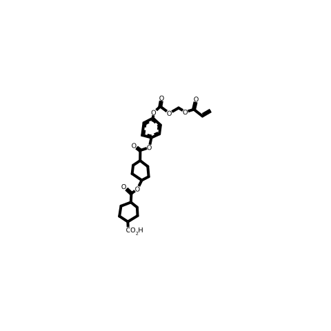 C=CC(=O)OCOC(=O)Oc1ccc(OC(=O)C2CCC(OC(=O)C3CCC(C(=O)O)CC3)CC2)cc1